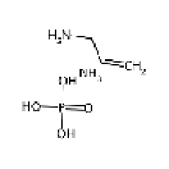 C=CCN.N.O=P(O)(O)O